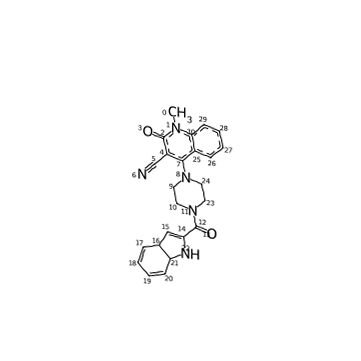 Cn1c(=O)c(C#N)c(N2CCN(C(=O)C3=CC4C=CC=CC4N3)CC2)c2ccccc21